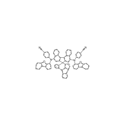 N#Cc1ccc(N(c2cc3c(c4ccccc24)-c2c(cc(N(c4ccc(C#N)cc4)c4cccc5c4oc4ccccc45)c4ccccc24)C32c3ccccc3-n3c4ccccc4c4cccc2c43)c2cccc3c2oc2ccccc23)cc1